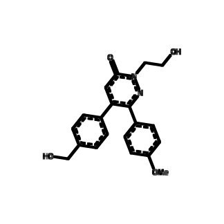 COc1ccc(-c2nn(CCO)c(=O)cc2-c2ccc(CO)cc2)cc1